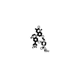 Cc1cc2c(N3CCN(C)c4cc(-c5cnn(C)c5)c(C#N)cc43)cc(OCCN3CCN(C(=O)OC(C)(C)C)CC3)cc2n(C)c1=O